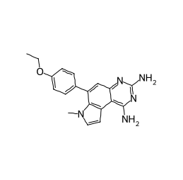 CCOc1ccc(-c2cc3nc(N)nc(N)c3c3ccn(C)c23)cc1